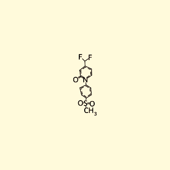 CS(=O)(=O)c1ccc(-n2ccc(C(F)F)cc2=O)cc1